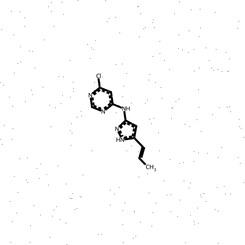 CC=Cc1cc(Nc2cc(Cl)ncn2)n[nH]1